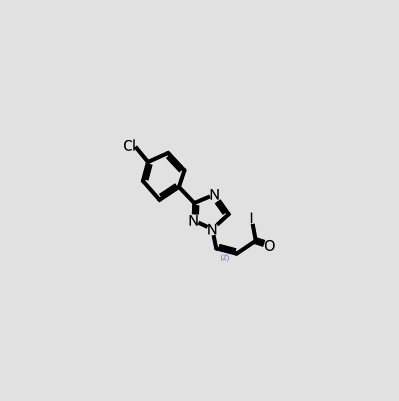 O=C(I)/C=C\n1cnc(-c2ccc(Cl)cc2)n1